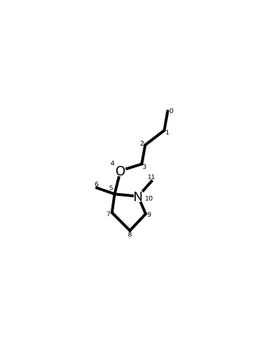 CCCCOC1(C)CCCN1C